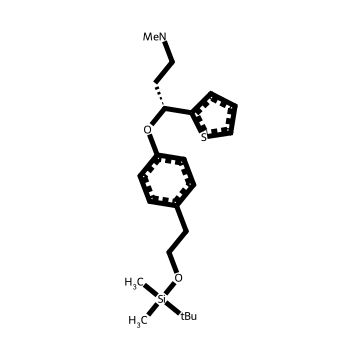 CNCC[C@@H](Oc1ccc(CCO[Si](C)(C)C(C)(C)C)cc1)c1cccs1